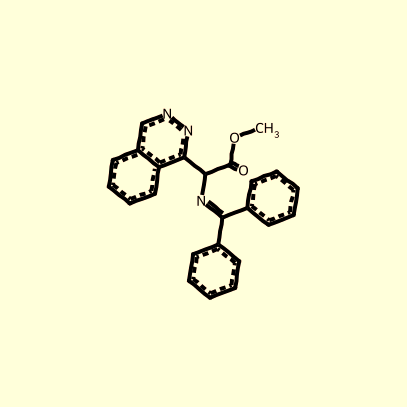 COC(=O)C(N=C(c1ccccc1)c1ccccc1)c1nncc2ccccc12